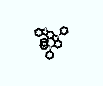 c1ccc(-c2c3c(cc4c2c2c(N(c5ccccc5)c5ccccc5)cccc2n4-c2ccccc2)oc2ccccc23)cc1